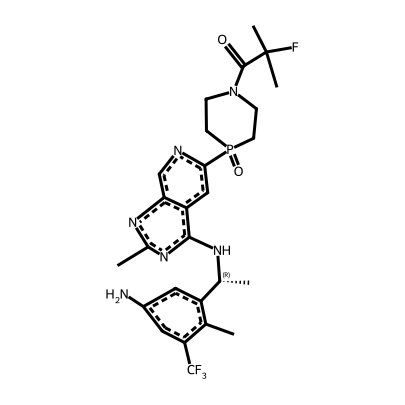 Cc1nc(N[C@H](C)c2cc(N)cc(C(F)(F)F)c2C)c2cc(P3(=O)CCN(C(=O)C(C)(C)F)CC3)ncc2n1